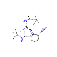 CC(Nc1nc(NC(C)C(C)(C)C)c2cccc(C#N)c2n1)C(C)(C)C